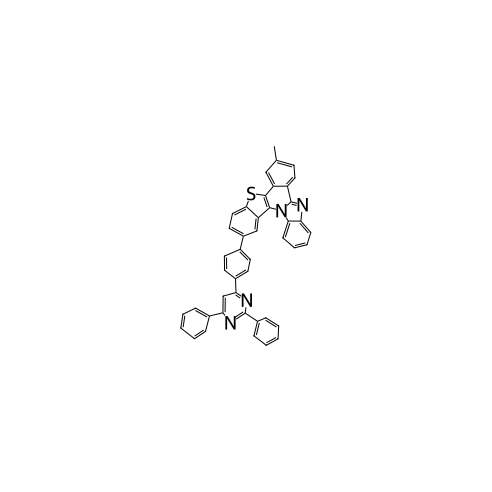 Cc1ccc2c(c1)c1sc3ccc(-c4ccc(-c5cc(-c6ccccc6)nc(-c6ccccc6)n5)cc4)cc3c1n1c3ccccc3nc21